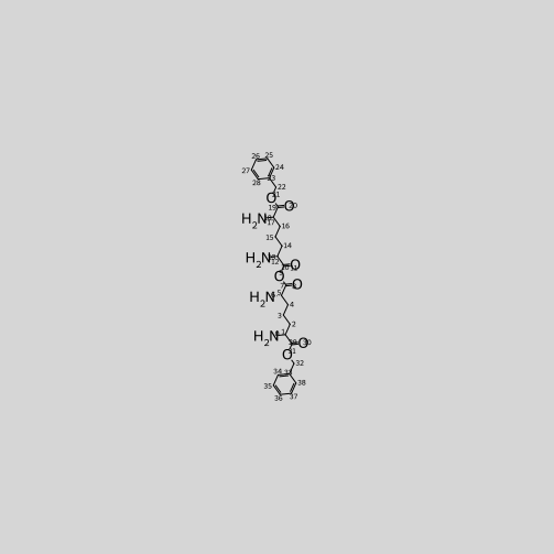 NC(CCC[C@H](N)C(=O)OC(=O)[C@@H](N)CCCC(N)C(=O)OCc1ccccc1)C(=O)OCc1ccccc1